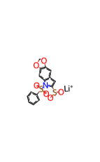 O=S([O-])c1cc2cc3c(cc2n1S(=O)(=O)c1ccccc1)OCO3.[Li+]